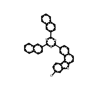 Clc1ccc2c(c1)oc1ccc3ccc(-c4nc(-c5ccc6ccccc6c5)nc(-c5ccc6ccccc6c5)n4)cc3c12